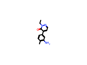 CCn1nccc(-c2ccc(C)c(N)c2)c1=O